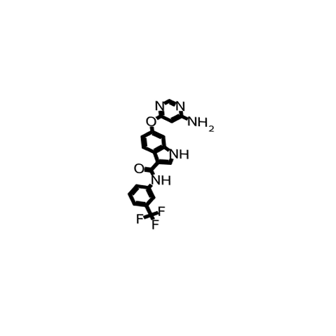 Nc1cc(Oc2ccc3c(C(=O)Nc4cccc(C(F)(F)F)c4)c[nH]c3c2)ncn1